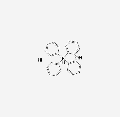 I.Oc1ccccc1[PH](c1ccccc1)(c1ccccc1)c1ccccc1